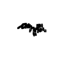 Cc1ccc(CNCC(F)CNC(=N)N)cc1